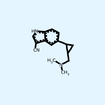 CN(C)CC1CC1c1ccc2[nH]cc(C#N)c2c1